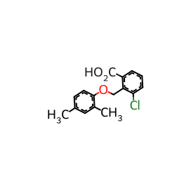 Cc1ccc(OCc2c(Cl)cccc2C(=O)O)c(C)c1